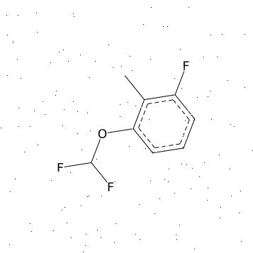 Cc1c(F)cccc1OC(F)F